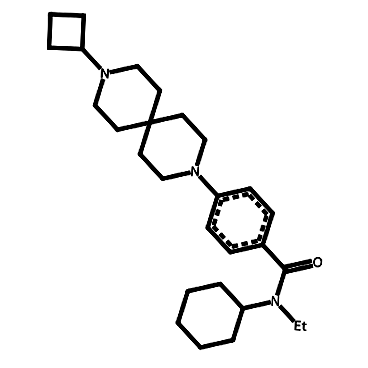 CCN(C(=O)c1ccc(N2CCC3(CC2)CCN(C2CCC2)CC3)cc1)C1CCCCC1